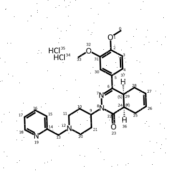 COc1ccc(C2=NN(C3CCN(Cc4ccccn4)CC3)C(=O)[C@@H]3CC=CC[C@H]23)cc1OC.Cl.Cl